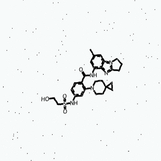 Cc1cc(NC(=O)c2ccc(NS(=O)(=O)CCO)cc2N2CCC3(CC2)CC3)c2nc3n(c2c1)CCC3